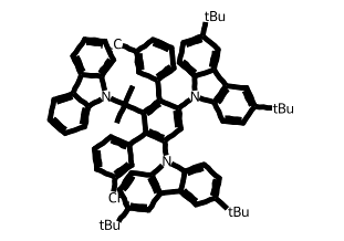 CC(C)(C)c1ccc2c(c1)c1cc(C(C)(C)C)ccc1n2-c1cc(-n2c3ccc(C(C)(C)C)cc3c3cc(C(C)(C)C)ccc32)c(-c2cccc(C(F)(F)F)c2)c(C(C)(C)n2c3ccccc3c3ccccc32)c1-c1cccc(C(F)(F)F)c1